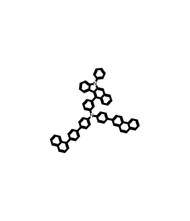 c1ccc(-n2c3ccccc3c3c(-c4cccc(N(c5ccc(-c6ccc(-c7cccc8ccccc78)cc6)cc5)c5ccc(-c6ccc7c(ccc8ccccc87)c6)cc5)c4)c4ccccc4cc32)cc1